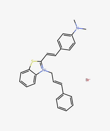 CN(C)c1ccc(C=Cc2sc3ccccc3[n+]2CC=Cc2ccccc2)cc1.[Br-]